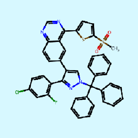 CS(=O)(=O)c1ccc(-c2ncnc3ccc(-c4cn(C(c5ccccc5)(c5ccccc5)c5ccccc5)nc4-c4ccc(Cl)cc4F)cc23)s1